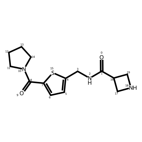 O=C(NCc1ccc(C(=O)N2CCCC2)s1)C1CNC1